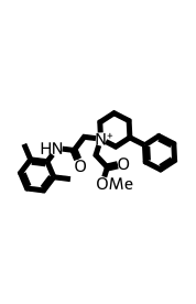 COC(=O)C[N+]1(CC(=O)Nc2c(C)cccc2C)CCCC(c2ccccc2)C1